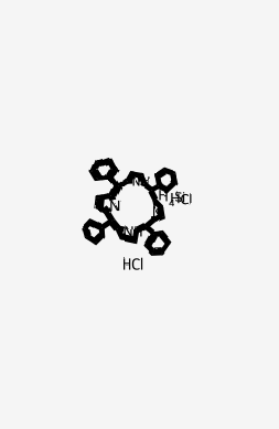 C1=Cc2nc1c(-c1ccccc1)c1ccc([nH]1)c(-c1ccccc1)c1nc(c(-c3ccccc3)c3ccc([nH]3)c2-c2ccccc2)C=C1.Cl.Cl.[SiH4]